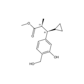 COC(=O)[C@@H](C)[C@H](c1ccc(CO)c(O)c1)C1CC1